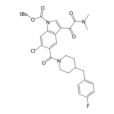 CN(C)C(=O)C(=O)c1cn(C(=O)OC(C)(C)C)c2cc(Cl)c(C(=O)N3CCC(Cc4ccc(F)cc4)CC3)cc12